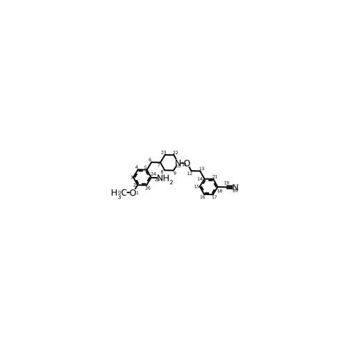 COc1ccc(CC2CCN(OCCc3cccc(C#N)c3)CC2)c(N)c1